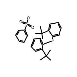 CC(C)(C)c1ccccc1[I+]c1ccccc1C(C)(C)C.O=S(=O)([O-])c1ccccc1